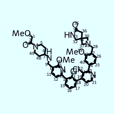 COCC(=O)N1CCC(NCc2ccc(-c3cccc(-c4ccnc(-c5ccc(CN6CC7(CNC(=O)C7)C6)c(OC)c5)c4Cl)c3Cl)nc2OC)CC1